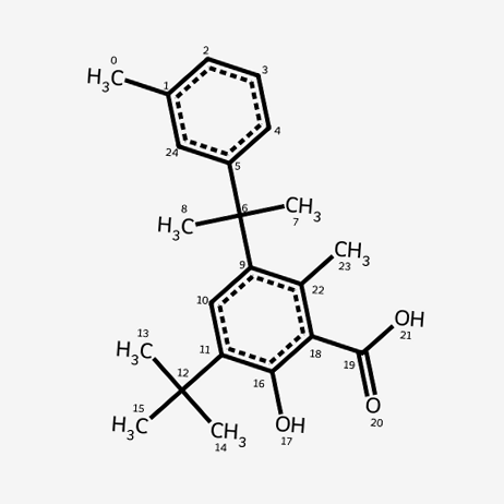 Cc1cccc(C(C)(C)c2cc(C(C)(C)C)c(O)c(C(=O)O)c2C)c1